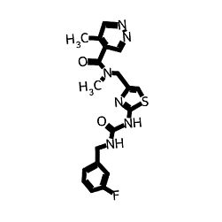 Cc1cnncc1C(=O)N(C)Cc1csc(NC(=O)NCc2cccc(F)c2)n1